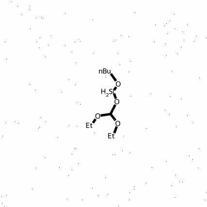 CCCCO[SiH2]OC(OCC)OCC